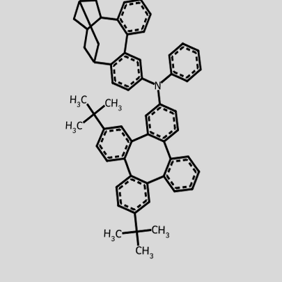 CC(C)(C)c1ccc2c(c1)-c1ccccc1-c1ccc(N(c3ccccc3)c3ccc4c(c3)-c3ccccc3C3CC5CC4CC3C5)cc1-c1cc(C(C)(C)C)ccc1-2